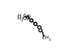 CCCCC1CCC2CC(c3ccc(-c4ccc(C5=NC(C)(C)CO5)cc4)cc3)CCC2C1